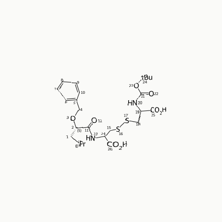 CC(C)C[C@H](OCc1ccccc1)C(=O)NC(CSSCC(NC(=O)OC(C)(C)C)C(=O)O)C(=O)O